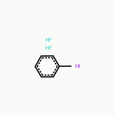 Cc1ccccc1.F.F.I